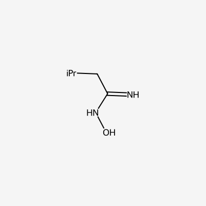 CC(C)CC(=N)NO